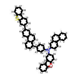 c1ccc2c(c1)ccc1cc(N(c3ccc(-c4cccc5c4ccc4cc(-c6ccc7c(c6)sc6ccccc67)ccc45)cc3)c3ccc4oc5ccccc5c4c3)ccc12